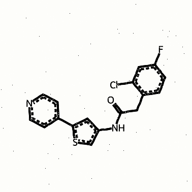 O=C(Cc1ccc(F)cc1Cl)Nc1csc(-c2ccncc2)c1